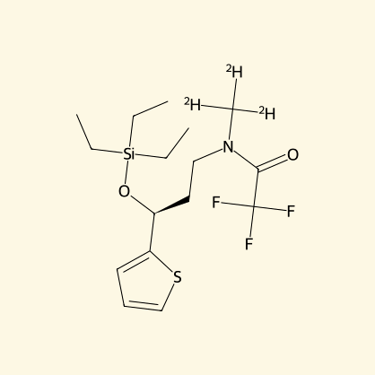 [2H]C([2H])([2H])N(CC[C@H](O[Si](CC)(CC)CC)c1cccs1)C(=O)C(F)(F)F